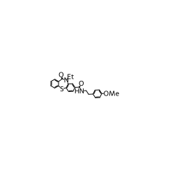 CCN1C(=O)c2ccccc2Sc2ccc(C(=O)NCCc3ccc(OC)cc3)cc21